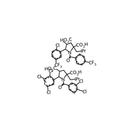 CC(C)CC1(C(=O)O)CC(C(=O)O)C(c2cc(C(F)(F)F)ccc2Cl)N1C(=O)c1ccc(C(F)(F)F)cc1.CC(C)CC1(C(=O)O)CC(C(=O)O)C(c2cc(Cl)cc(Cl)c2Cl)N1C(=O)c1ccc(Cl)c(Cl)c1